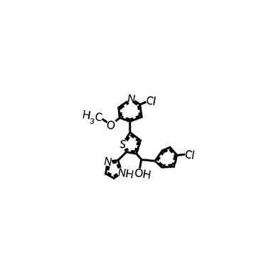 COc1cnc(Cl)cc1-c1cc(C(O)c2ccc(Cl)cc2)c(-c2ncc[nH]2)s1